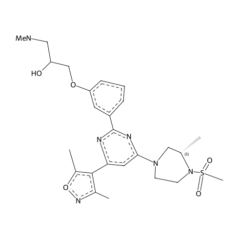 CNCC(O)COc1cccc(-c2nc(-c3c(C)noc3C)cc(N3CCN(S(C)(=O)=O)[C@@H](C)C3)n2)c1